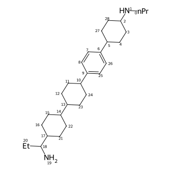 CCCNC1CCC(c2ccc(C3CCC(C4CCC(C(N)CC)CC4)CC3)cc2)CC1